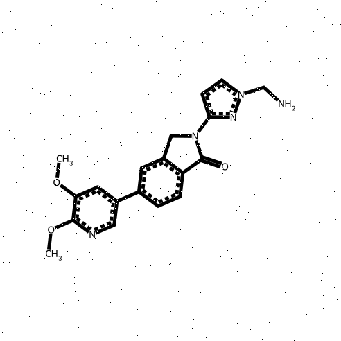 COc1cc(-c2ccc3c(c2)CN(c2ccn(CN)n2)C3=O)cnc1OC